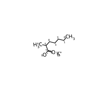 CCCCCC(C)C(=O)[O-].[K+]